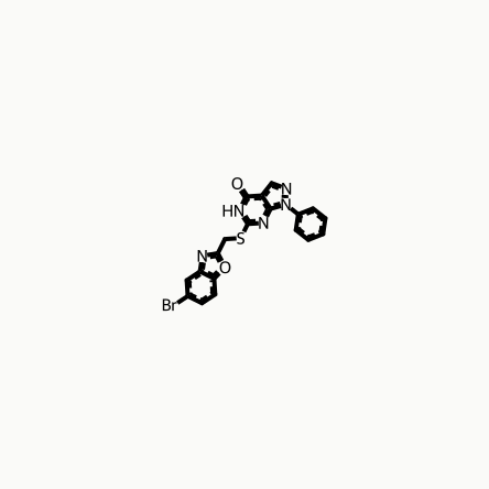 O=c1[nH]c(SCc2nc3cc(Br)ccc3o2)nc2c1cnn2-c1ccccc1